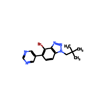 CC(C)(C)Cn1nnc2c(Br)c(-c3cncnc3)ccc21